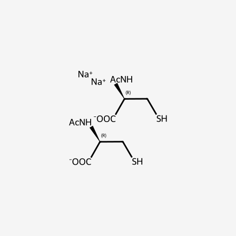 CC(=O)N[C@@H](CS)C(=O)[O-].CC(=O)N[C@@H](CS)C(=O)[O-].[Na+].[Na+]